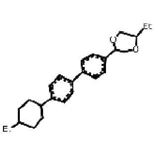 CCC1CCC(c2ccc(-c3ccc(C4COC(CC)CO4)cc3)cc2)CC1